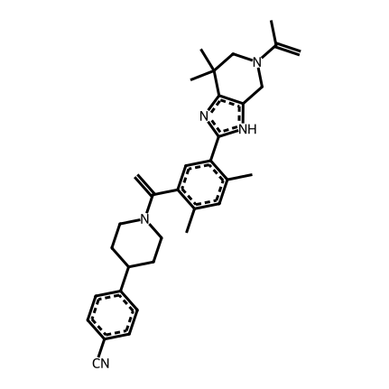 C=C(C)N1Cc2[nH]c(-c3cc(C(=C)N4CCC(c5ccc(C#N)cc5)CC4)c(C)cc3C)nc2C(C)(C)C1